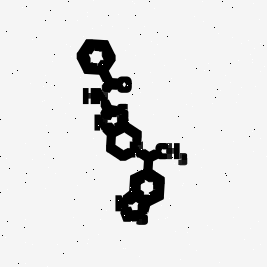 CC(c1ccc2scnc2c1)N1CCc2nc(NC(=O)c3ccccc3)sc2C1